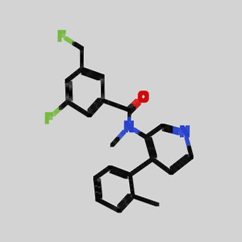 Cc1ccccc1-c1ccncc1N(C)C(=O)c1cc(F)cc(CF)c1